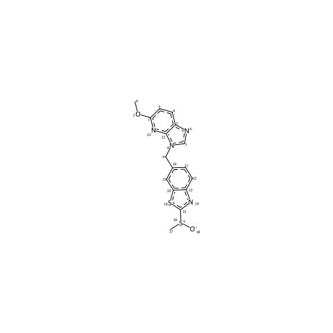 COc1ccc2ncn(Cc3ccc4nc([S+](C)[O-])sc4c3)c2n1